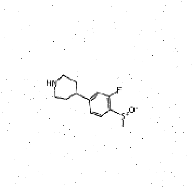 C[S+]([O-])c1ccc(C2CCNCC2)cc1F